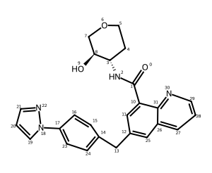 O=C(N[C@H]1CCOC[C@@H]1O)c1cc(Cc2ccc(-n3cccn3)cc2)cc2cccnc12